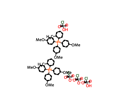 COc1ccc([P+](c2ccc(OC)cc2)(c2ccc(OC)cc2)c2ccccc2C)cc1.COc1ccc([P+](c2ccc(OC)cc2)(c2ccc(OC)cc2)c2ccccc2C)cc1.[O]=[Mn](=[O])([O-])[Cl].[O]=[Mn](=[O])([O-])[Cl].[O]=[Mn](=[O])([OH])[Cl].[O]=[Mn](=[O])([OH])[Cl]